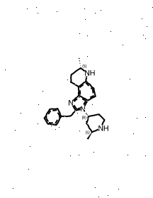 C[C@H]1C[C@H](n2c(Cc3ccccc3)nc3c4c(ccc32)N[C@@H](C)CC4)CCN1